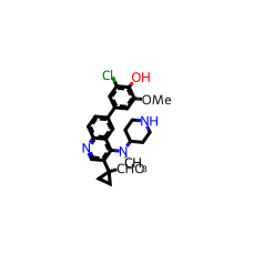 COc1cc(-c2ccc3ncc(C4(C=O)CC4)c(N(C)C4CCNCC4)c3c2)cc(Cl)c1O